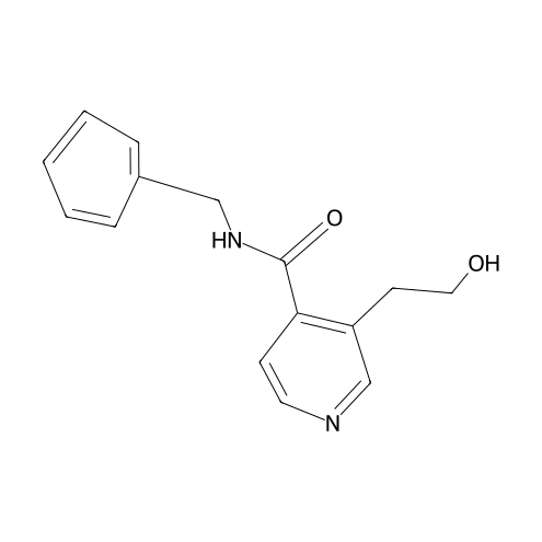 O=C(NCc1ccccc1)c1ccncc1CCO